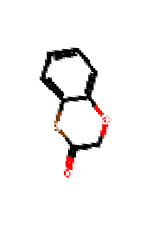 O=C1COc2ccccc2S1